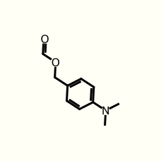 CN(C)c1ccc(COC=O)cc1